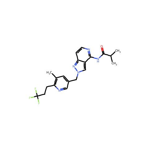 Cc1cc(Cn2cc3c(NC(=O)C(C)C)nccc3n2)cnc1CCC(F)(F)F